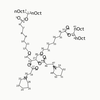 CCCCCCCCC(CCCCCCCC)OC(=O)CCCCCCCOCC(OC(=O)CCN1CCCCC1)C(COCCCCCCCC(=O)OC(CCCCCCCC)CCCCCCCC)OC(=O)CCN1CCCCC1